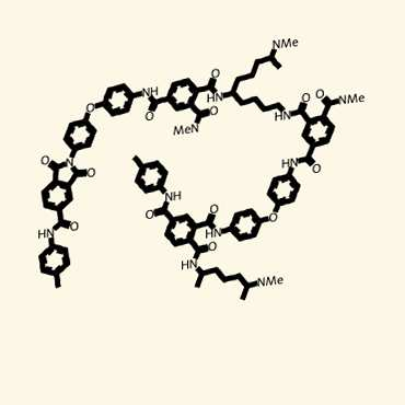 CNC(=O)c1ccc(C(=O)Nc2ccc(Oc3ccc(NC(=O)c4cc(C(=O)Nc5ccc(C)cc5)ccc4C(=O)NC(C)CCCC(C)NC)cc3)cc2)cc1C(=O)NCCCCC(CCCC(C)NC)NC(=O)c1ccc(C(=O)Nc2ccc(Oc3ccc(N4C(=O)c5ccc(C(=O)Nc6ccc(C)cc6)cc5C4=O)cc3)cc2)cc1C(=O)NC